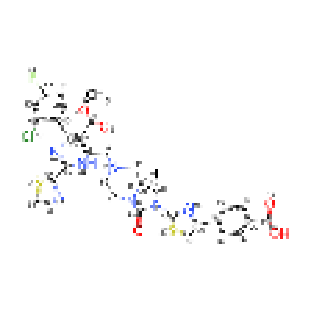 COC(=O)C1=C(CN2CCN3C(=O)N(c4nc(-c5ccc(C(=O)O)cc5)cs4)C[C@@H]3C2)NC(c2nccs2)=N[C@H]1c1ccc(F)cc1Cl